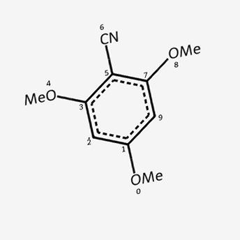 COc1[c]c(OC)c(C#N)c(OC)c1